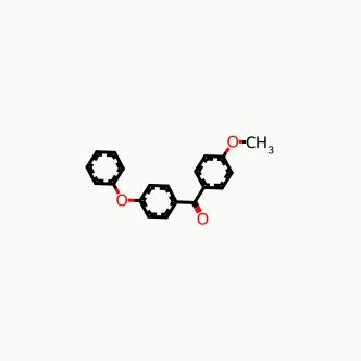 COc1ccc(C(=O)c2ccc(Oc3ccccc3)cc2)cc1